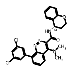 CN(C)c1c(C(=O)N[C@H]2CCOc3ccccc32)nnc2c(-c3cc(Cl)cc(Cl)c3)cccc12